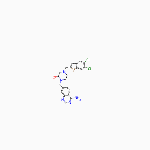 Nc1ncnc2cc(CN3CCN(Cc4cc5cc(Cl)c(Cl)cc5s4)CC3=O)ccc12